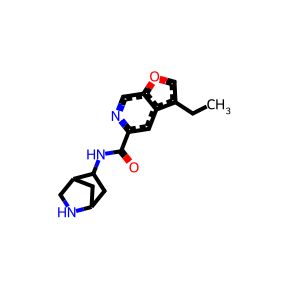 CCc1coc2cnc(C(=O)NC3CC4CC3CN4)cc12